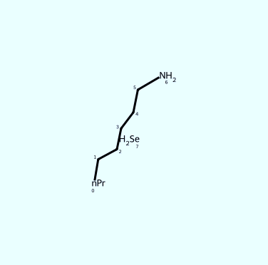 CCCCCCCCN.[SeH2]